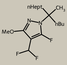 CCCCCCCC(C)(CCCC)n1nc(OC)c(C(F)F)c1F